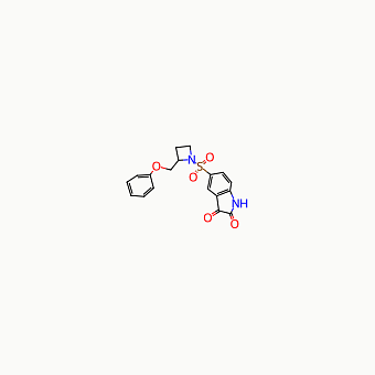 O=C1Nc2ccc(S(=O)(=O)N3CCC3COc3ccccc3)cc2C1=O